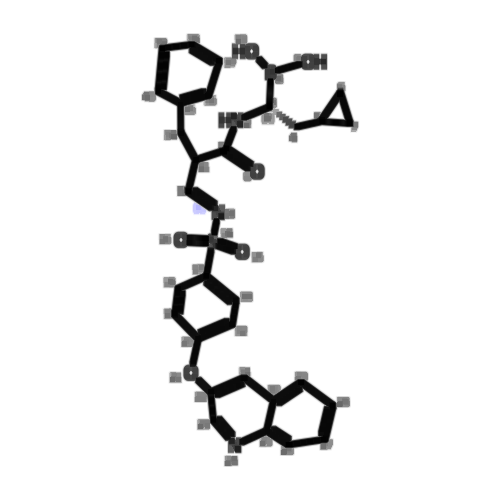 O=C(N[C@@H](CC1CC1)B(O)O)C(/C=N/S(=O)(=O)c1ccc(Oc2cnc3ccccc3c2)cc1)Cc1ccccc1